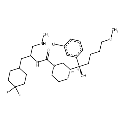 CNCC(CC1CCC(F)(F)CC1)NC(=O)N1CCC[C@@H]([C@@](O)(CCCCOC)c2cccc(Cl)c2)C1